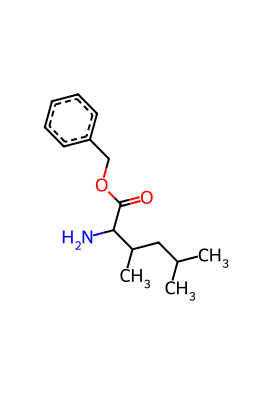 CC(C)CC(C)C(N)C(=O)OCc1ccccc1